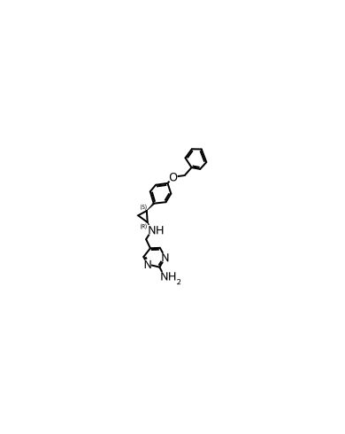 Nc1ncc(CN[C@@H]2C[C@H]2c2ccc(OCc3ccccc3)cc2)cn1